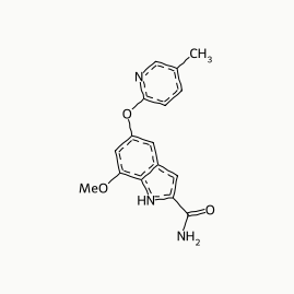 COc1cc(Oc2ccc(C)cn2)cc2cc(C(N)=O)[nH]c12